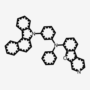 c1ccc(N(c2cccc(-n3c4ccccc4c4c5ccccc5ccc43)c2)c2cccc3c2oc2cnccc23)cc1